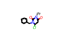 CC(C)n1c(=O)cc(Cl)n(Cc2ccccc2)c1=O